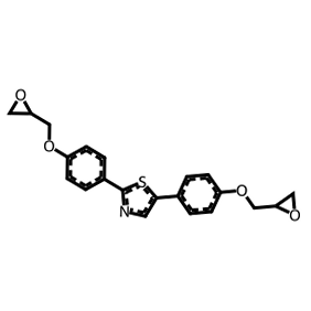 c1cc(-c2cnc(-c3ccc(OCC4CO4)cc3)s2)ccc1OCC1CO1